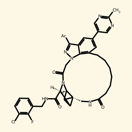 CC(=O)c1nn2c3c(cc(-c4cnc(C)nc4)cc13)CCCCCCC(=O)NC[C@]13C4C1[C@H]3N(C(=O)C2)[C@@H]4C(=O)NCc1cccc(Cl)c1F